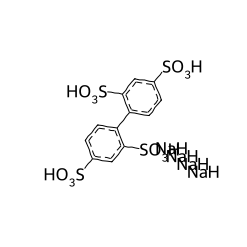 O=S(=O)(O)c1ccc(-c2ccc(S(=O)(=O)O)cc2S(=O)(=O)O)c(S(=O)(=O)O)c1.[NaH].[NaH].[NaH].[NaH]